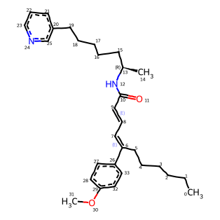 CCCCCC/C(=C\C=C\C(=O)N[C@H](C)CCCCCc1cccnc1)c1ccc(OC)cc1